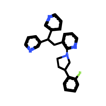 Fc1ccccc1C1CCN(c2ncccc2CC(c2cccnc2)c2cccnc2)C1